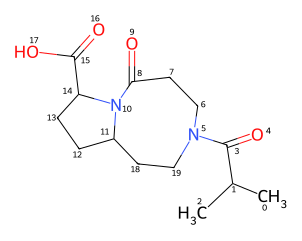 CC(C)C(=O)N1CCC(=O)N2C(CCC2C(=O)O)CC1